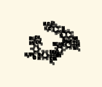 CCC(C)(C)Nc1ccc(Nc2ccc(C(C)(CC)C(C)(CC)Nc3ccc(Nc4ccc(C(N)(CC)C(C)(CC)Nc5ccc6[nH]c(-c7ccc(C(C)(C)CC)cc7)nc(=O)c6c5)cc4)c(C#N)c3)cc2)c(C(N)=O)c1